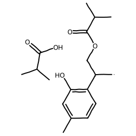 CC(C)C(=O)O.[CH2][C](COC(=O)C(C)C)c1ccc(C)cc1O